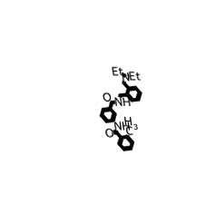 CCN(CC)Cc1ccccc1CNC(=O)c1cccc(NC(=O)c2ccccc2C)c1